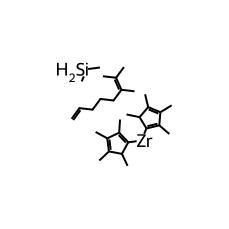 C=CCCCC(C)=C(C)C.CC1=C(C)C(C)[C]([Zr][C]2=C(C)C(C)=C(C)C2C)=C1C.C[SiH2]C